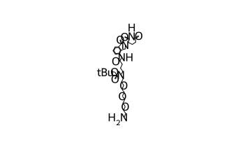 CC(C)(C)OC(=O)N(CCCC(=O)Nc1cccc2c1CN(C1CCC(=O)NC1=O)C2=O)CCOCCOCCOCCN